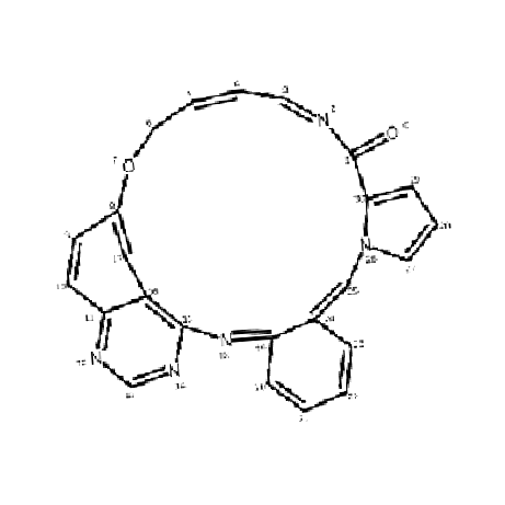 O=C1/N=C\C=C/COc2ccc3ncnc(c3c2)/N=c2/cccc/c2=C/n2cccc21